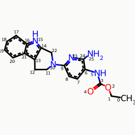 CCOC(=O)Nc1ccc(N2CCc3c([nH]c4ccccc34)C2)nc1N